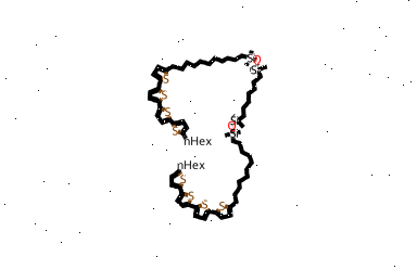 CCCCCCc1ccc(-c2ccc(-c3ccc(-c4ccc(CCCCCCCCCCC[Si](C)(C)O[Si](C)(C)CCCCCCC[Si](C)(C)O[Si](C)(C)CCCCCCCCCCCc5ccc(-c6ccc(-c7ccc(-c8ccc(CCCCCC)s8)s7)s6)s5)s4)s3)s2)s1